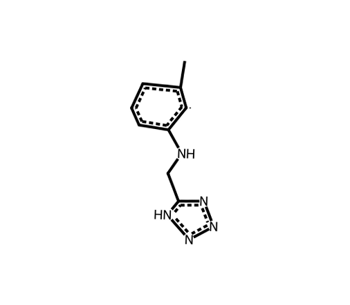 Cc1[c]c(NCc2nnn[nH]2)ccc1